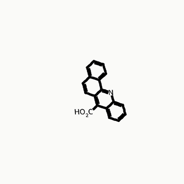 O=C(O)c1c2ccccc2nc2c1ccc1ccccc12